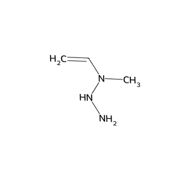 C=CN(C)NN